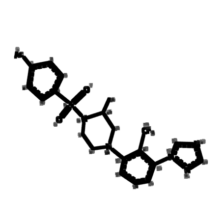 CC(=O)c1ccc(S(=O)(=O)N2CCN(c3cccc(-n4cncn4)c3C(F)(F)F)CC2C)cc1